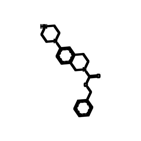 O=C(OCc1ccccc1)N1CCc2cc(N3CCNCC3)ccc2C1